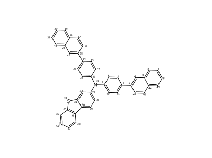 c1ccc2cc(-c3ccc(N(c4ccc(-c5ccc6ccccc6c5)cc4)c4ccc5c(c4)sc4cnccc45)cc3)ccc2c1